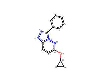 c1ccc(-c2nnc3ccc(OC4CC4)nn23)cc1